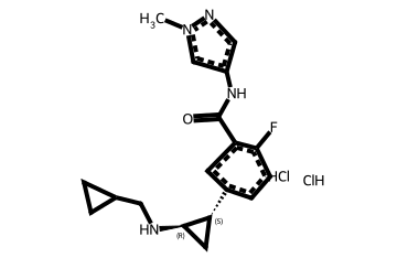 Cl.Cl.Cn1cc(NC(=O)c2cc([C@@H]3C[C@H]3NCC3CC3)ccc2F)cn1